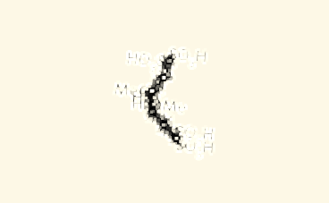 COc1cc(N=Nc2cc(C)c(N=Nc3ccc(S(=O)(=O)O)cc3S(=O)(=O)O)cc2C)c(C)cc1NC(=O)Nc1cc(C)c(N=Nc2cc(C)c(N=Nc3ccc(S(=O)(=O)O)cc3S(=O)(=O)O)cc2C)cc1OC